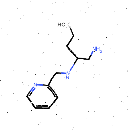 NCC(CCC(=O)O)NCc1ccccn1